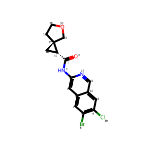 O=C(Nc1cc2cc(Br)c(Cl)cc2cn1)[C@@H]1C[C@]12CCOC2